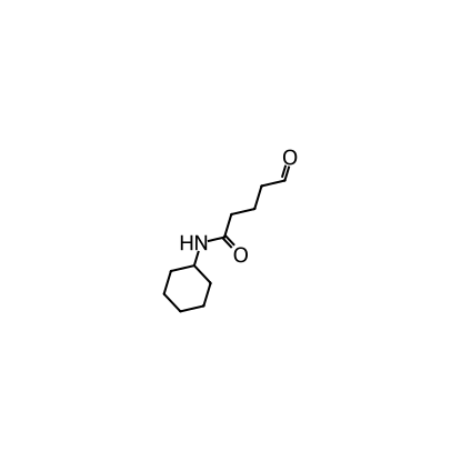 O=CCCCC(=O)NC1CCCCC1